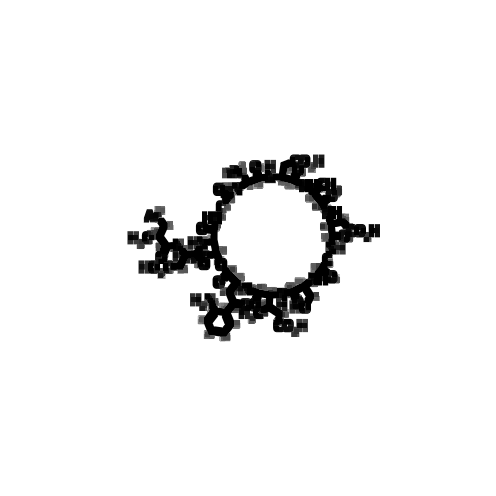 CCCCC1NC(=O)CNC(=O)C(NC(=O)C(CC(=O)O)NC(=O)[C@H](C)CC(C)=O)C(C)OC(=O)C(CC(=O)c2ccccc2N)NC(=O)C(C(C)CC(=O)O)NC(=O)C(CO)NC(=O)CNC(=O)C(CC(=O)O)NC(=O)C(C)NC(=O)C(CC(=O)O)NC1=O